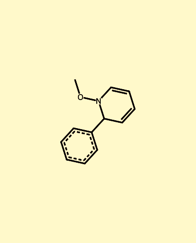 CON1C=CC=CC1c1ccccc1